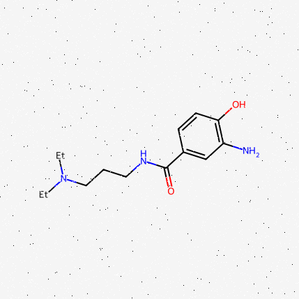 CCN(CC)CCCNC(=O)c1ccc(O)c(N)c1